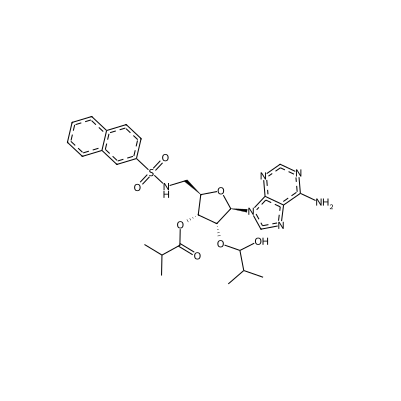 CC(C)C(=O)O[C@H]1[C@@H](OC(O)C(C)C)[C@H](n2cnc3c(N)ncnc32)O[C@@H]1CNS(=O)(=O)c1ccc2ccccc2c1